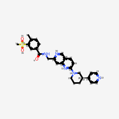 Cc1ccc(C(=O)NCc2cc3nc(N4CCC[C@H](c5ccncc5)C4)ccc3cn2)cc1S(C)(=O)=O